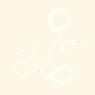 CC(F)(F)C(F)(F)C(OP(=O)(O)c1ccccc1)c1ccccc1